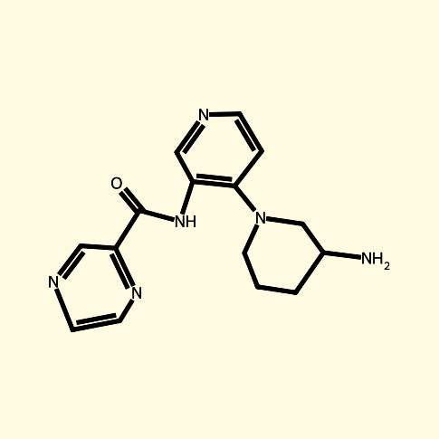 NC1CCCN(c2ccncc2NC(=O)c2cnccn2)C1